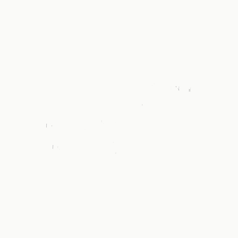 CC(C)NCC(O)COc1ccc2c(=O)cc(-c3ccc(O)c(O)c3)oc2c1